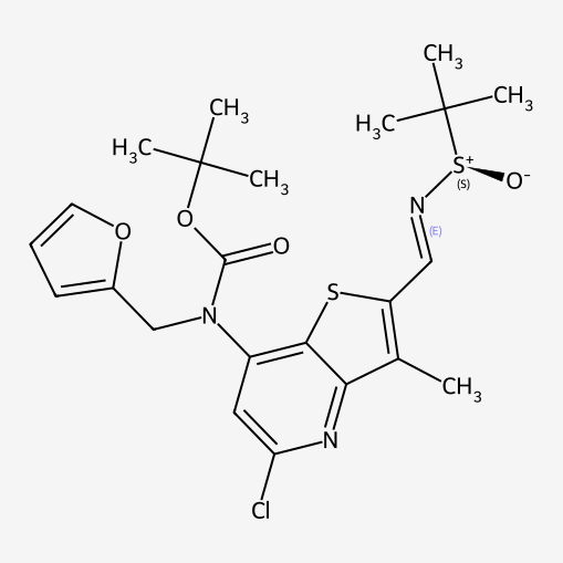 Cc1c(/C=N/[S@+]([O-])C(C)(C)C)sc2c(N(Cc3ccco3)C(=O)OC(C)(C)C)cc(Cl)nc12